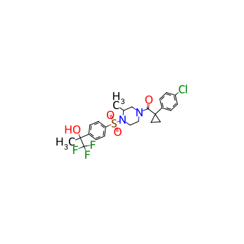 CC1CN(C(=O)C2(c3ccc(Cl)cc3)CC2)CCN1S(=O)(=O)c1ccc(C(C)(O)C(F)(F)F)cc1